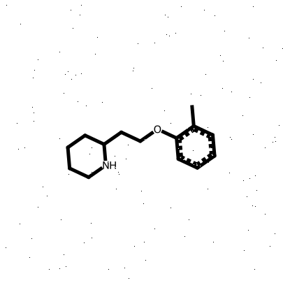 Cc1ccccc1OCCC1CCCCN1